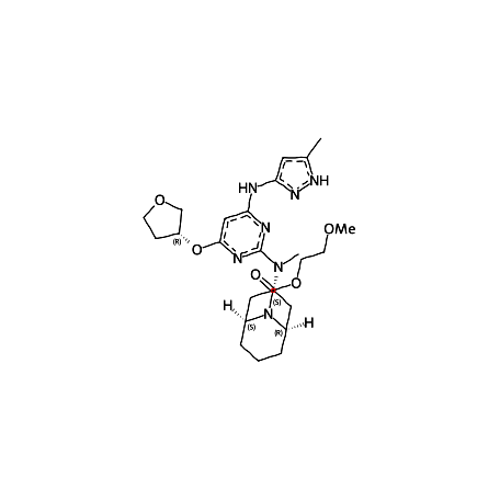 COCCOC(=O)N1[C@@H]2CCC[C@H]1C[C@H](N(C)c1nc(Nc3cc(C)[nH]n3)cc(O[C@@H]3CCOC3)n1)C2